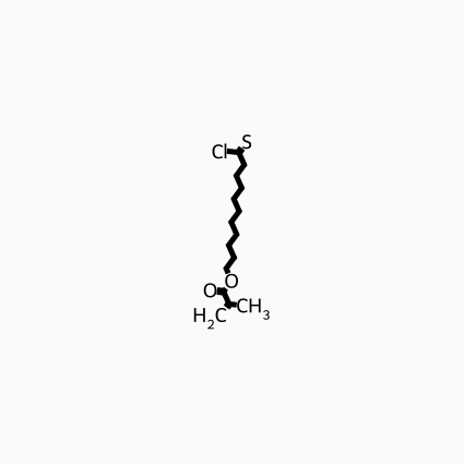 C=C(C)C(=O)OCCCCCCCCCCC(=S)Cl